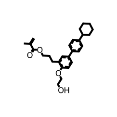 C=C(C)C(=O)OCCCc1cc(-c2ccc(C3CCCCC3)cc2)ccc1OCCO